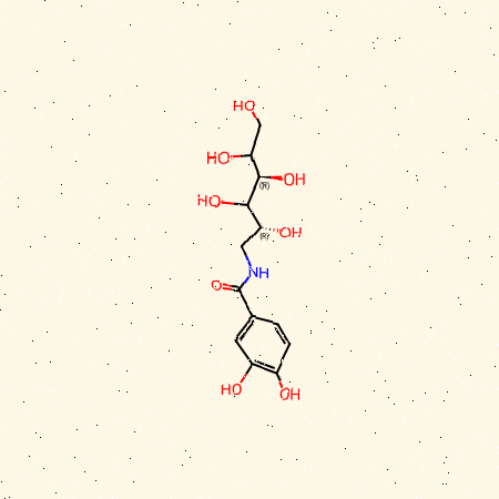 O=C(NC[C@@H](O)C(O)[C@H](O)C(O)CO)c1ccc(O)c(O)c1